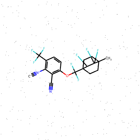 [C-]#[N+]c1c(C(F)(F)F)ccc(OC(F)(F)C23CCC(C)(CC2)C(F)(F)C3F)c1C#N